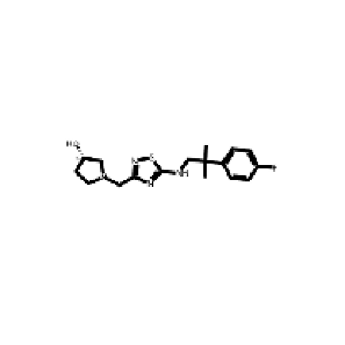 CC(C)(CNc1nc(CN2CC[C@H](O)C2)ns1)c1ccc(F)cc1